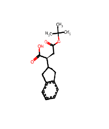 CC(C)(C)OC(=O)C[C@H](C(=O)O)C1Cc2ccccc2C1